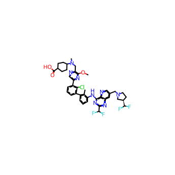 COc1nc(-c2cccc(-c3cccc(Nc4nc(C(F)F)nc5cc(CN6CC[C@@H](C(F)F)C6)cnc45)c3C)c2Cl)cnc1CN(C)C1CCC(C(=O)O)CC1